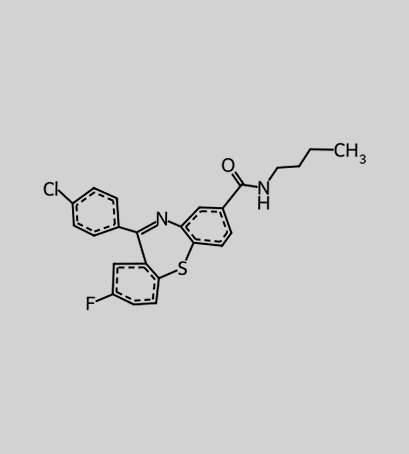 CCCCNC(=O)c1ccc2c(c1)N=C(c1ccc(Cl)cc1)c1cc(F)ccc1S2